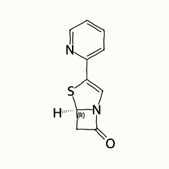 O=C1C[C@H]2SC(c3ccccn3)=CN12